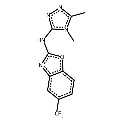 Cc1nnc(Nc2nc3cc(C(F)(F)F)ccc3o2)n1C